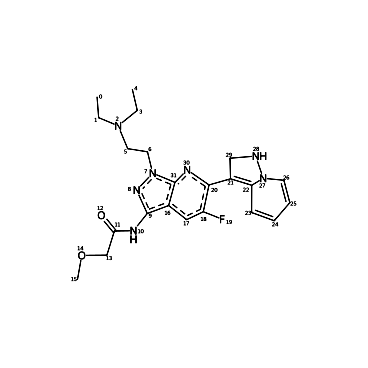 CCN(CC)CCn1nc(NC(=O)COC)c2cc(F)c(C3=C4C=CC=CN4NC3)nc21